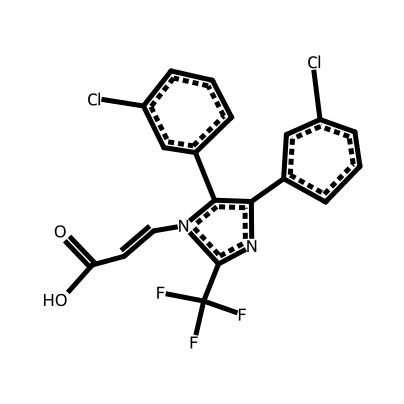 O=C(O)/C=C/n1c(C(F)(F)F)nc(-c2cccc(Cl)c2)c1-c1cccc(Cl)c1